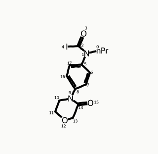 CCCN(C(=O)I)c1ccc(N2CCOCC2=O)cc1